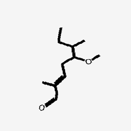 CCC(C)C(C/C=C(\C)C=O)OC